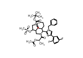 CC(=O)O[C@@H](C)C(=O)N(CC1CN(C(=O)OC(C)(C)C)CC1OS(C)(=O)=O)C(c1nc(-c2cc(F)ccc2F)cn1Cc1ccccc1)C1CCOCC1